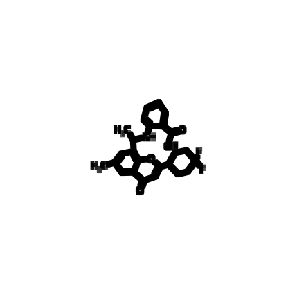 Cc1cc(C(C)Nc2ccccc2C(=O)O)c2oc(C3CCC(F)(F)CC3)cc(=O)c2c1